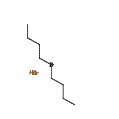 Br.CCCC[B]CCCC